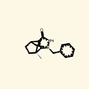 CC1(C)C2CC[C@]1(C)c1c2c(=O)[nH]n1Cc1ccccc1